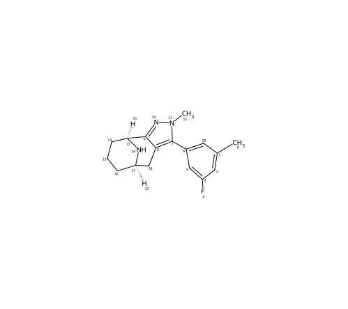 Cc1cc(F)cc(-c2c3c(nn2C)[C@@H]2CCC[C@H](C3)N2)c1